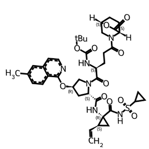 C=C[C@@H]1C[C@]1(NC(=O)[C@@H]1C[C@@H](Oc2nccc3cc(C)ccc23)CN1C(=O)[C@H](CCC(=O)N1C[C@@H]2CC[C@H]1C(=O)O2)NC(=O)OC(C)(C)C)C(=O)NS(=O)(=O)C1CC1